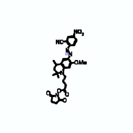 COc1cc2c(cc1/N=N/c1ccc([N+](=O)[O-])cc1C#N)C(C)CC(C)(C)N2CCCC(=O)ON1C(=O)CCC1=O